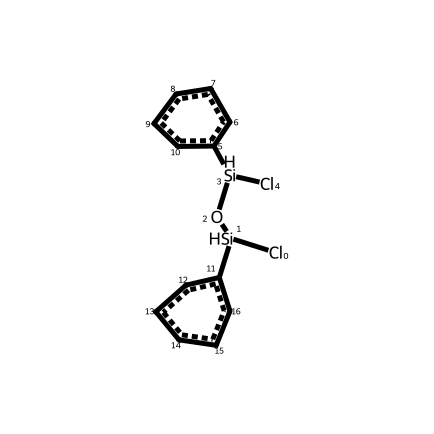 Cl[SiH](O[SiH](Cl)c1ccccc1)c1ccccc1